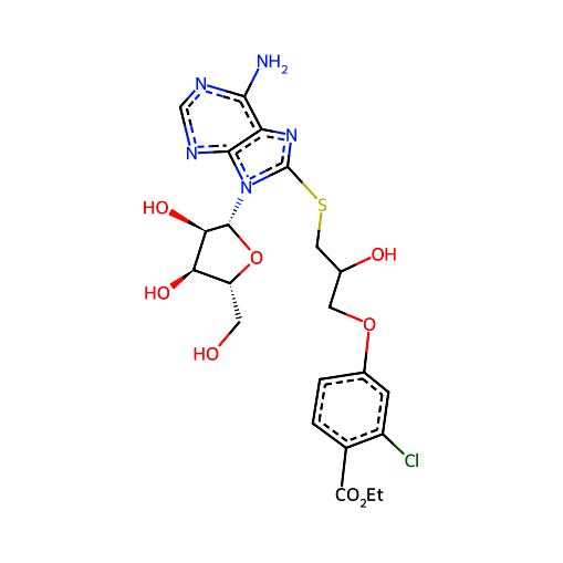 CCOC(=O)c1ccc(OCC(O)CSc2nc3c(N)ncnc3n2[C@@H]2O[C@H](CO)[C@@H](O)[C@H]2O)cc1Cl